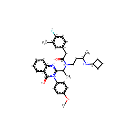 CCOc1ccc(-n2c(C(C)N(CCC(C)NC3CCC3)C(=O)Cc3ccc(F)c(C(F)(F)F)c3)nc3ccccc3c2=O)cc1